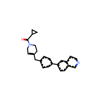 O=C(C1CC1)N1CC=C(Cc2ccc(-c3ccc4cnccc4c3)cc2)CC1